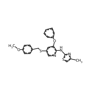 COc1ccc(CSc2cnc(Nc3nc(C)cs3)c(Oc3ccccc3)c2)cc1